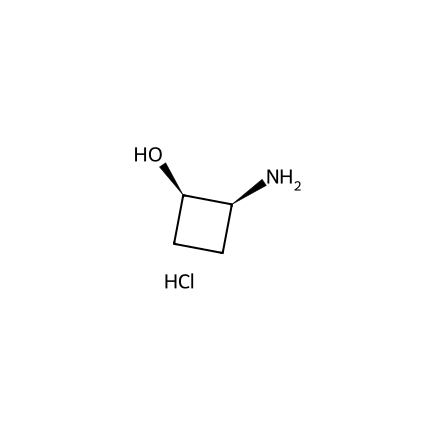 Cl.N[C@H]1CC[C@H]1O